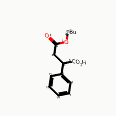 CCCCOC(=O)CC(C(=O)O)c1ccccc1